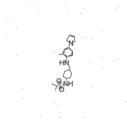 Cc1cc(N2CC=CC2)ccc1NCC1CCC(NS(=O)(=O)C(C)C)CC1